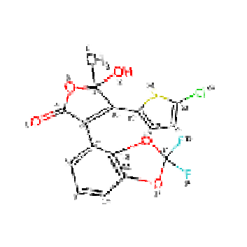 CC1(O)OC(=O)C(c2cccc3c2OC(F)(F)O3)=C1c1ccc(Cl)s1